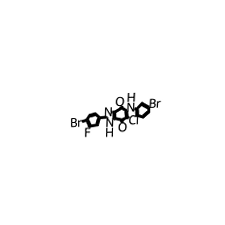 O=C1C(Nc2cccc(Br)c2)=C(Cl)C(=O)c2[nH]c(-c3ccc(Br)c(F)c3)nc21